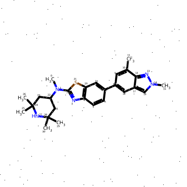 CN(c1nc2ccc(-c3cc(C(F)(F)F)c4nn(C)cc4c3)cc2s1)C1CC(C)(C)NC(C)(C)C1